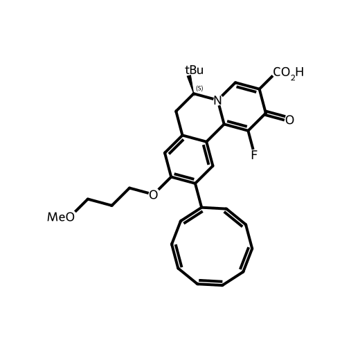 COCCCOc1cc2c(cc1-c1ccccccccc1)-c1c(F)c(=O)c(C(=O)O)cn1[C@H](C(C)(C)C)C2